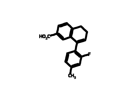 Cc1ccc(C2=CCCc3ccc(C(=O)O)cc32)c(F)c1